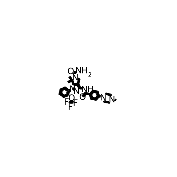 CN1CCN(c2ccc(C(=O)Nc3nn(-c4ccccc4OC(F)(F)F)c4c3CN(C(N)=O)C4(C)C)cc2)CC1